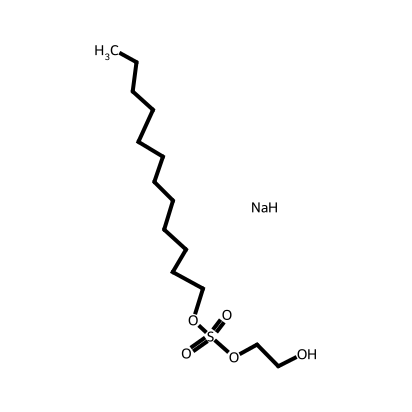 CCCCCCCCCCCCOS(=O)(=O)OCCO.[NaH]